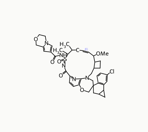 COC1/C=C/CC(C)C(C)S(=O)(NC(=O)c2cc3n(c2)CCOC3)=NC(=O)c2ccc3c(n2)N(CC2CCC21)CC1(CO3)CC2CC2c2cc(Cl)ccc21